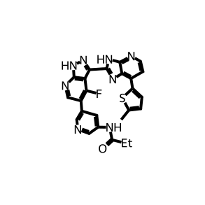 CCC(=O)Nc1cncc(-c2cnc3[nH]nc(-c4nc5c(-c6ccc(C)s6)ccnc5[nH]4)c3c2F)c1